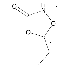 CCC1ONC(=O)O1